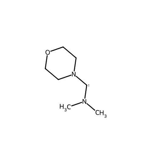 CN(C)[C]N1CCOCC1